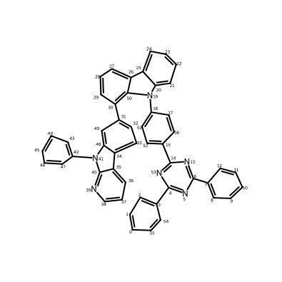 c1ccc(-c2nc(-c3ccccc3)nc(-c3ccc(-n4c5ccccc5c5cccc(-c6ccc7c8cccnc8n(-c8ccccc8)c7c6)c54)cc3)n2)cc1